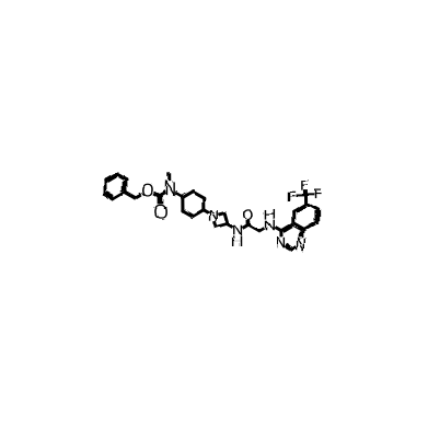 CN(C(=O)OCc1ccccc1)C1CCC(N2CC(NC(=O)CNc3ncnc4ccc(C(F)(F)F)cc34)C2)CC1